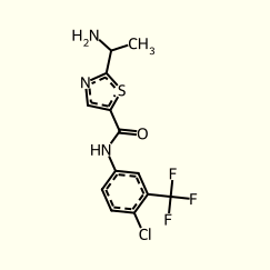 CC(N)c1ncc(C(=O)Nc2ccc(Cl)c(C(F)(F)F)c2)s1